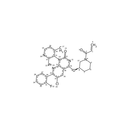 C=CC(=O)N1CCC[C@@H](Oc2nc(=O)n(-c3c(C)ccnc3C(C)C)c3nc(-c4ccccc4F)c(Cl)cc23)C1